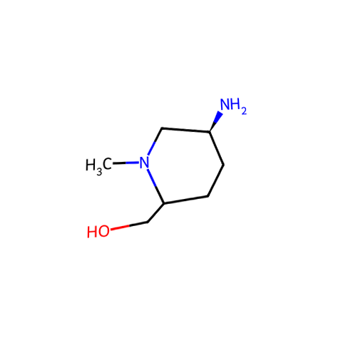 CN1C[C@@H](N)CCC1CO